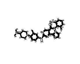 Cc1cc(Nc2ncc3c(=O)n(-c4c(F)cccc4Br)n4ccnc4c3n2)ccc1N1CCC(N(C)C)CC1